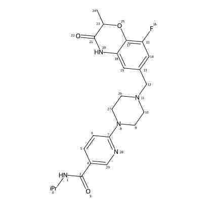 CC(C)NC(=O)c1ccc(N2CCN(Cc3cc(F)c4c(c3)NC(=O)C(C)O4)CC2)nc1